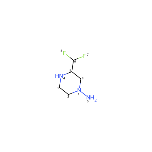 NN1CCNC(C(F)F)C1